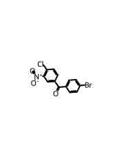 O=C(c1ccc(Br)cc1)c1ccc(Cl)c([N+](=O)[O-])c1